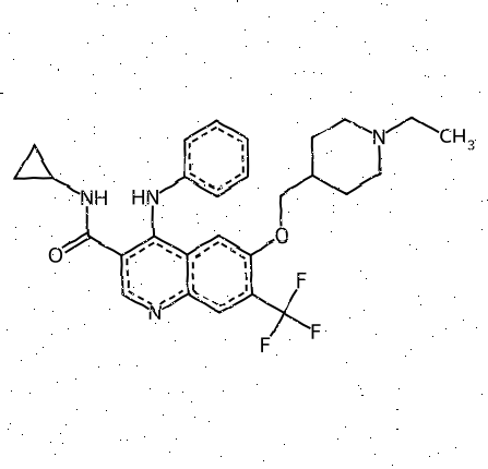 CCN1CCC(COc2cc3c(Nc4ccccc4)c(C(=O)NC4CC4)cnc3cc2C(F)(F)F)CC1